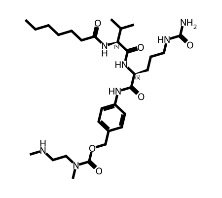 CCCCCCC(=O)N[C@H](C(=O)N[C@@H](CCCNC(N)=O)C(=O)Nc1ccc(COC(=O)N(C)CCNC)cc1)C(C)C